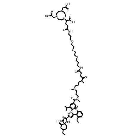 C=C1CC(CC)CCC1(NC(=O)c1cc(-c2c(OC)cccc2OC)n(-c2ccc(C(=O)N(C)CCCN(C)CCCN(C)C(=O)CCC(=O)NCCCOCCOCCOCCCNC(=O)CCC(C(=O)O)N3CCN(CC(=O)O)CCN(CC(=O)O)CC3)cc2C(C)C)n1)C(=O)O